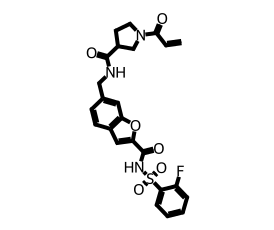 C=CC(=O)N1CCC(C(=O)NCc2ccc3cc(C(=O)NS(=O)(=O)c4ccccc4F)oc3c2)C1